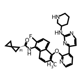 Cc1ccc2c(NC(=O)[C@@H]3CC34CC4)c(F)ccc2c1Oc1ncccc1-c1ccnc(NC2CCCNC2)n1